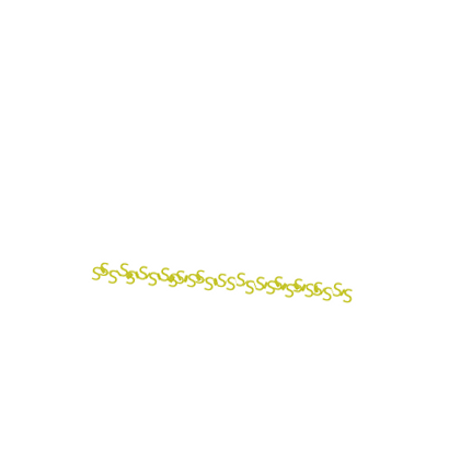 S=S=S=S=S=S=S=S=S=S=S=S=S=S=S=S=S=S=S=S=S=S=S=S=S=S=S